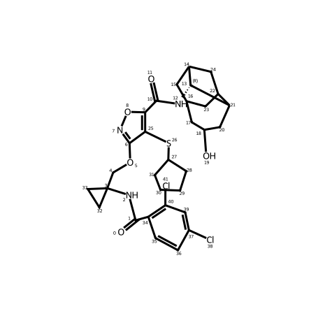 O=C(NC1(COc2noc(C(=O)N[C@@H]3C4CC5CC(O)CC3C(C5)C4)c2SC2CCCC2)CC1)c1ccc(Cl)cc1Cl